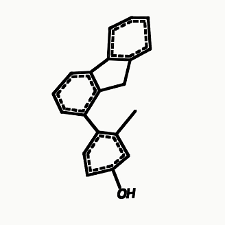 Cc1cc(O)ccc1-c1cccc2c1Cc1ccccc1-2